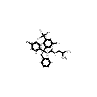 CC(C)COC(=O)N[C@@](Cc1ccccc1)(c1cc(F)cc(C(F)(F)F)c1)c1ccc(Cl)cn1